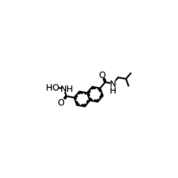 CC(C)CNC(=O)c1ccc2ccc(C(=O)NO)cc2c1